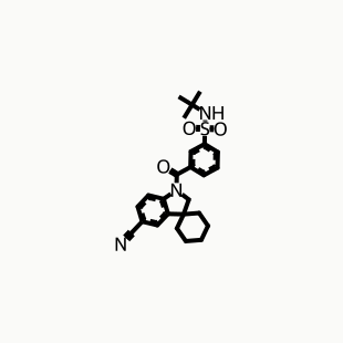 CC(C)(C)NS(=O)(=O)c1cccc(C(=O)N2CC3(CCCCC3)c3cc(C#N)ccc32)c1